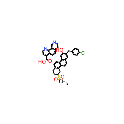 CS(=O)(=O)C1CCc2ccc3c(ccc4cc(Cc5ccc(Cl)cc5)c(O)cc43)c2C1.O=C(O)c1ccnc2c1ccc1ccncc12